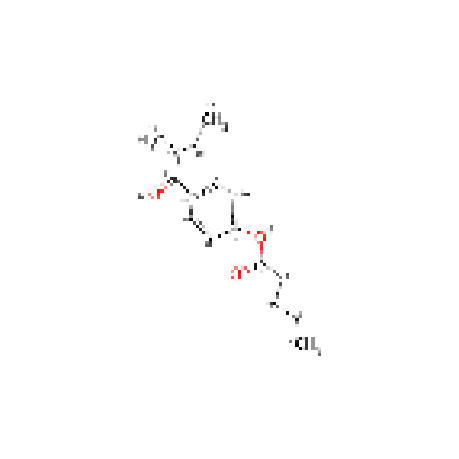 CCCCC(=O)Oc1ccc(C(=O)C(C)CC)cc1